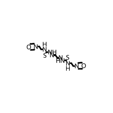 S=C(NCCN1CCOCC1)N/N=C/C=N/NC(=S)NCCN1CCOCC1